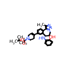 Cc1nnn2c1-c1ccc(C3=CCN(C(=O)OC(C)(C)C)CC3)cc1C(Nc1ccccc1O)CC2